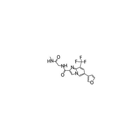 CNC(=O)CNC(=O)c1cn2cc(-c3ccoc3)cc(C(F)(F)F)c2n1